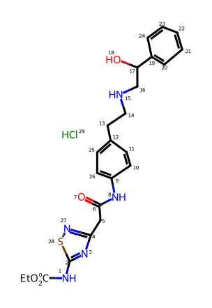 CCOC(=O)Nc1nc(CC(=O)Nc2ccc(CCNCC(O)c3ccccc3)cc2)ns1.Cl